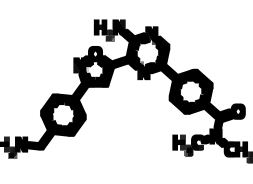 CN(C)C(=O)c1ccc(-c2cnc(N)c(-c3cc(-c4ccc(CN)cc4)no3)n2)cc1